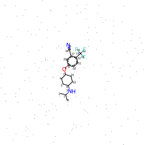 CC(C)NC1CCC(Oc2ccc(C(F)(F)F)c(C#N)c2)CC1